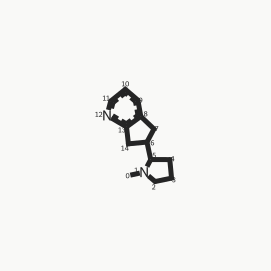 CN1CCCC1C1Cc2cccnc2C1